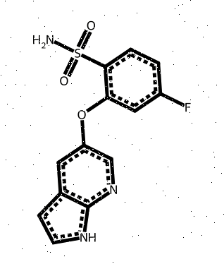 NS(=O)(=O)c1ccc(F)cc1Oc1cnc2[nH]ccc2c1